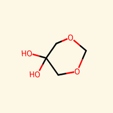 OC1(O)COCOC1